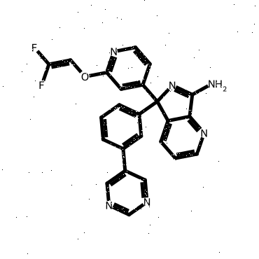 NC1=NC(c2cccc(-c3cncnc3)c2)(c2ccnc(OC=C(F)F)c2)c2cccnc21